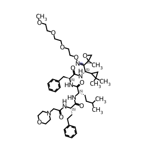 COCCOCCOCCO/N=C(/[C@@H](NC(=O)[C@H](Cc1ccccc1)NC(=O)[C@H](CCC(C)C)NC(=O)[C@H](CCc1ccccc1)NC(=O)CN1CCOCC1)C1CC1(C)C)[C@@]1(C)CO1